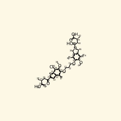 COc1c(F)c2c(c(F)c1OCCCOc1c(OC)c(Cl)c3sc(C(=O)C[C@H](C)C(O)=S)cc3c1F)CN(C(O)C[C@H](C)C(=O)O)C2